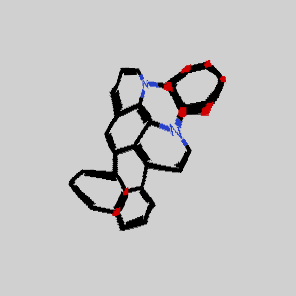 C1=CN(c2ccccc2)c2c3c(c(-c4ccccc4)cc2=C1)=C(c1ccccc1)C=CN3c1ccccc1